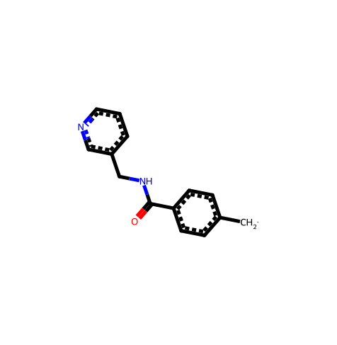 [CH2]c1ccc(C(=O)NCc2cccnc2)cc1